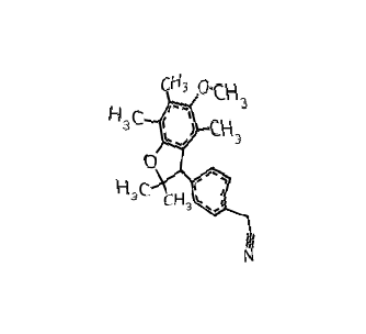 COc1c(C)c(C)c2c(c1C)C(c1ccc(CC#N)cc1)C(C)(C)O2